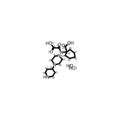 Cl.Cl.O=C(O)C(=O)N(N1CCN(C2CCNCC2)CC1)C1(C(=O)O)CCCCC1